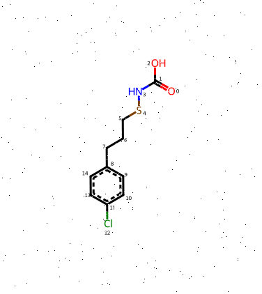 O=C(O)NSCCCc1ccc(Cl)cc1